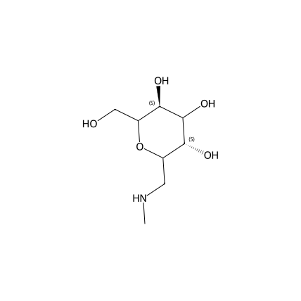 CNCC1OC(CO)[C@@H](O)C(O)[C@@H]1O